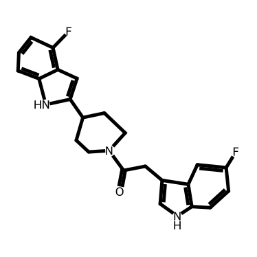 O=C(Cc1c[nH]c2ccc(F)cc12)N1CCC(c2cc3c(F)cccc3[nH]2)CC1